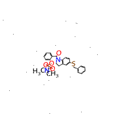 CN(C)S(=O)(=O)Oc1ccccc1C(=O)N1CCc2cc(SCc3ccccc3)ccc21